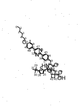 CCCCCCOc1ccc(-c2cnc(-c3ccc(C[C@H](NC(=O)c4ccc(C(C)(C)C)s4)C(=O)NCC4(C(=O)O)CCC4)cc3)nc2)cc1